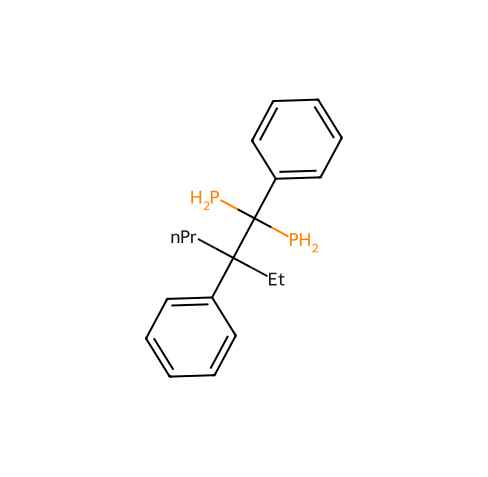 CCCC(CC)(c1ccccc1)C(P)(P)c1ccccc1